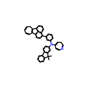 CC1(C)c2ccccc2-c2ccc(N(C3=CCC=NC=C3)c3cccc(-c4ccc5c6c(cccc46)C4=C5C=CC=CC4)c3)cc21